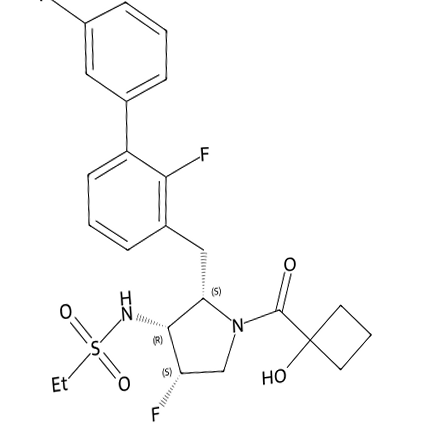 CCS(=O)(=O)N[C@H]1[C@@H](F)CN(C(=O)C2(O)CCC2)[C@H]1Cc1cccc(-c2cccc(F)c2)c1F